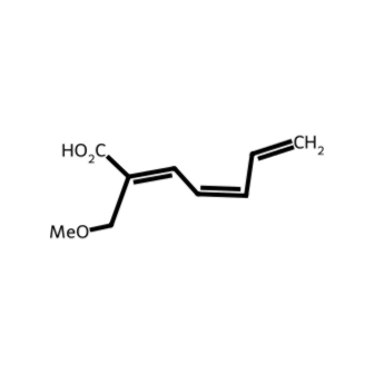 C=C/C=C\C=C(/COC)C(=O)O